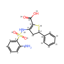 Nc1ccccc1S(=O)(=O)NC1=C(C(=O)O)SC(c2ccccc2)C1